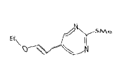 CCO/C=C/c1cnc(SC)nc1